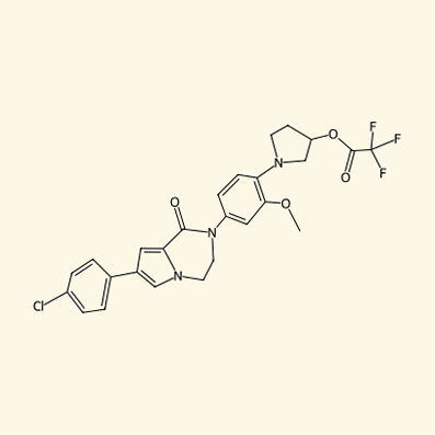 COc1cc(N2CCn3cc(-c4ccc(Cl)cc4)cc3C2=O)ccc1N1CCC(OC(=O)C(F)(F)F)C1